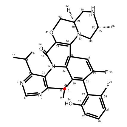 CC(C)c1ncnc(C(C)C)c1-n1c(=O)c2c(c3cc(F)c(-c4c(O)cccc4F)c(F)c31)N1C[C@@H](C)NC[C@@H]1CO2